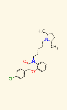 CC1CCC(C)N1CCCCCN1C(=O)C(c2ccc(Cl)cc2)Oc2ccccc21